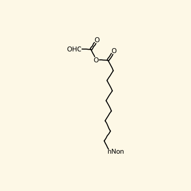 CCCCCCCCCCCCCCCCCC(=O)OC(=O)C=O